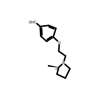 C[C@@H]1CCCN1CCOc1ccc(C=O)cc1